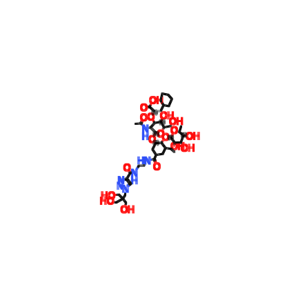 CCC1CC(C(=O)NCCNC(=O)c2cn(CC(CO)(CO)CO)nn2)C[C@@H](O[C@@H]2OC(CO)[C@H](O)C(O[C@@H](CC3CCCCC3)C(=O)O)C2NC(C)=O)C1O[C@@H]1OC(C)[C@@H](O)C(O)C1O